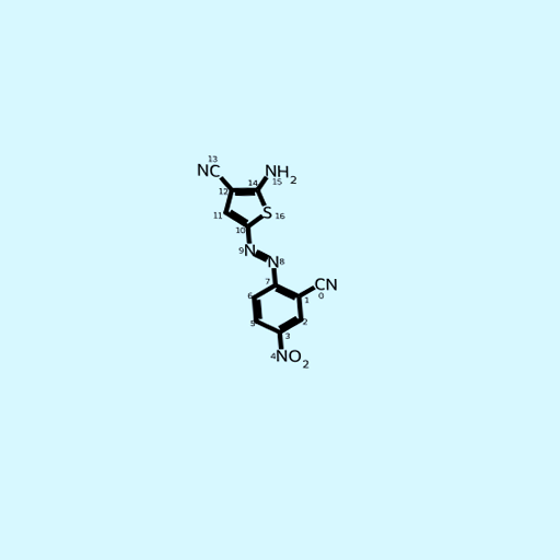 N#Cc1cc([N+](=O)[O-])ccc1N=Nc1cc(C#N)c(N)s1